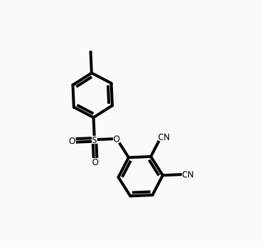 Cc1ccc(S(=O)(=O)Oc2cccc(C#N)c2C#N)cc1